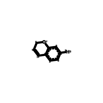 [2H]c1ccc2c(c1)OCC=C2